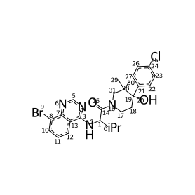 CC(C)C(Nc1ncnc2c(Br)cccc12)C(=O)N1CCC(O)(c2ccc(Cl)cc2)C(C)(C)C1